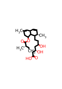 CC[C@H](C)C(=O)OC1CC(C)=CC2C=C[C@H](C)C(CCC(O)C[C@H](O)CC(=O)O)C21